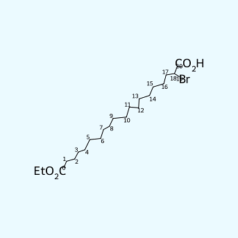 CCOC(=O)CCCCCCCCCCCCCCCCCC(Br)C(=O)O